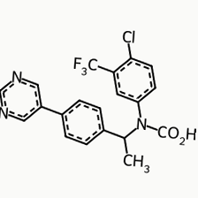 CC(c1ccc(-c2cncnc2)cc1)N(C(=O)O)c1ccc(Cl)c(C(F)(F)F)c1